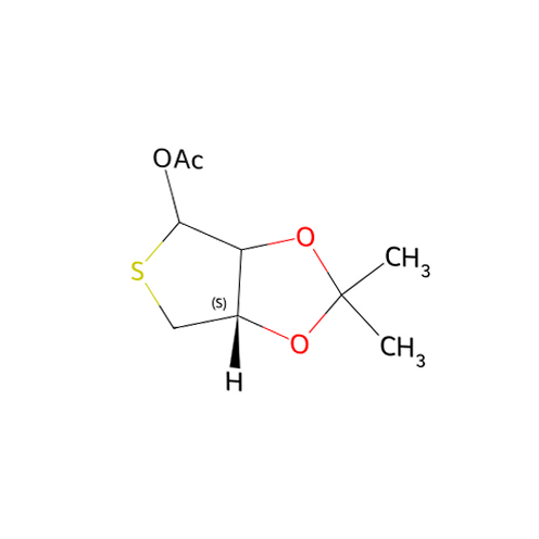 CC(=O)OC1SC[C@H]2OC(C)(C)OC12